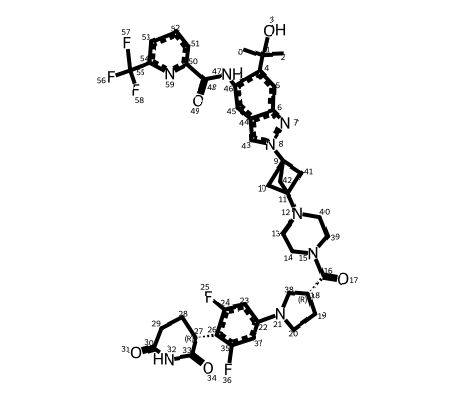 CC(C)(O)c1cc2nn(C34CC(N5CCN(C(=O)[C@@H]6CCN(c7cc(F)c([C@H]8CCC(=O)NC8=O)c(F)c7)C6)CC5)(C3)C4)cc2cc1NC(=O)c1cccc(C(F)(F)F)n1